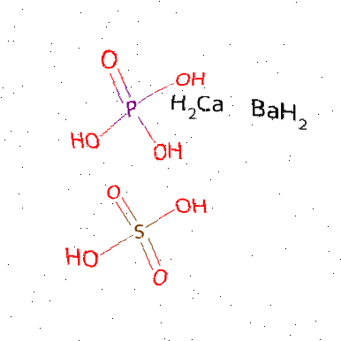 O=P(O)(O)O.O=S(=O)(O)O.[BaH2].[CaH2]